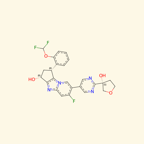 O[C@@H]1C[C@H](c2ccccc2OC(F)F)c2c1nc1cc(F)c(-c3cnc([C@@]4(O)CCOC4)nc3)cn21